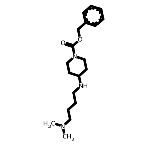 CN(C)CCCCNC1CCN(C(=O)OCc2ccccc2)CC1